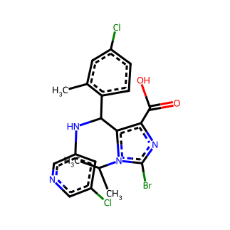 Cc1cc(Cl)ccc1C(Nc1cncc(Cl)c1)c1c(C(=O)O)nc(Br)n1C(C)C